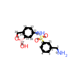 NCc1cccc(S(=O)(=O)Nc2ccc3c(c2)B(O)OC3)c1